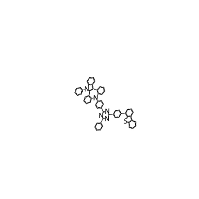 c1ccc(-c2nc(-c3ccc(-c4cccc5c4sc4ccccc45)cc3)nc(-c3ccc(N4c5ccccc5-c5c(n(-c6ccccc6)c6ccccc56)-c5ccccc54)cc3)n2)cc1